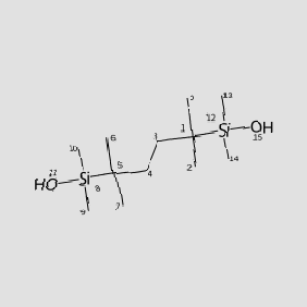 CC(C)(CCC(C)(C)[Si](C)(C)O)[Si](C)(C)O